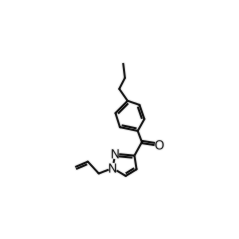 C=CCn1ccc(C(=O)c2ccc(CCC)cc2)n1